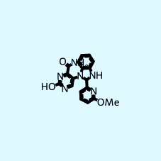 COc1cccc(C2Nc3ccccc3N2c2cnc(O)nc2C(N)=O)n1